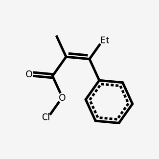 CCC(=C(C)C(=O)OCl)c1ccccc1